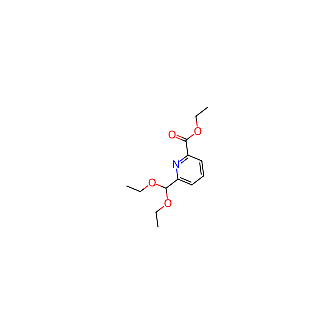 CCOC(=O)c1cccc(C(OCC)OCC)n1